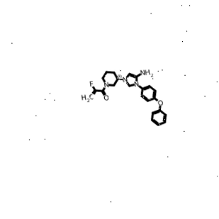 C=C(F)C(=O)N1CCC[C@@H](N2C=C(N)N(c3ccc(Oc4ccccc4)cc3)C2)C1